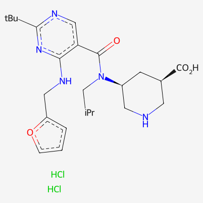 CC(C)CN(C(=O)c1cnc(C(C)(C)C)nc1NCc1ccco1)[C@@H]1CNC[C@H](C(=O)O)C1.Cl.Cl